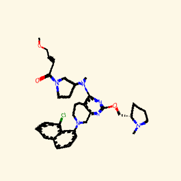 COC/C=C/C(=O)N1CCC(N(C)c2nc(OC[C@@H]3CCCN3C)nc3c2CCN(c2cccc4cccc(Cl)c24)C3)C1